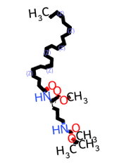 CC/C=C\C/C=C\C/C=C\C/C=C\C/C=C\C/C=C\CCC(=O)N[C@@H](CCCCNC(=O)OC(C)(C)C)C(=O)OC